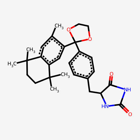 Cc1cc2c(cc1C1(c3ccc(CC4NC(=O)NC4=O)cc3)OCCO1)C(C)(C)CCC2(C)C